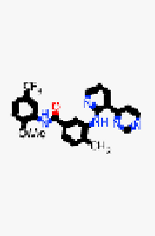 COc1ccc(C(F)(F)F)cc1NC(=O)c1ccc(C)c(Nc2ncccc2-c2ccncn2)c1